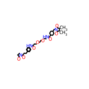 CC1C(=O)N(CC2CCC(C(=O)NCCOCCOCCC(=O)Nc3ccc(CCC(=O)N4CCC4=O)cc3)CC2)C(=O)C1C